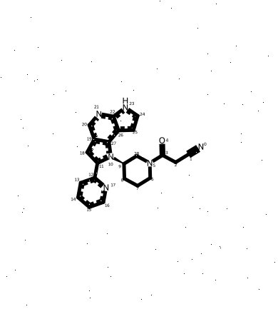 N#CCC(=O)N1CCC[C@@H](n2c(-c3ccccn3)cc3cnc4[nH]ccc4c32)C1